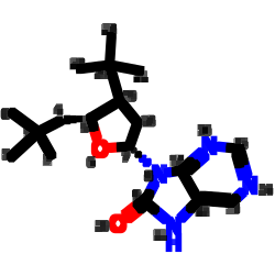 CC(C)(C)C[C@H]1O[C@@H](n2c(=O)[nH]c3cncnc32)CC1C(C)(C)C